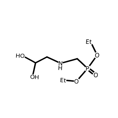 CCOP(=O)(CNCC(O)O)OCC